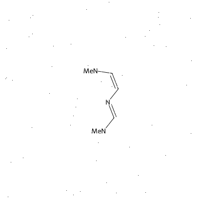 CN/C=C\N=C\NC